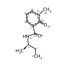 CC[C@@H](C)NC(=O)c1cccn(C)c1=O